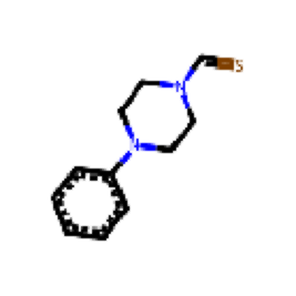 S=CN1CCN(c2ccccc2)CC1